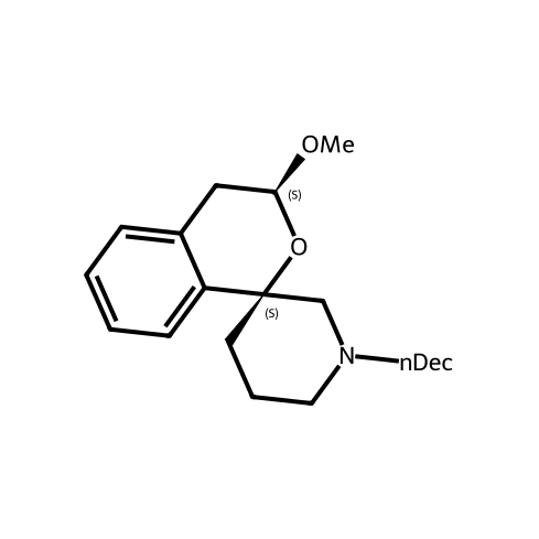 CCCCCCCCCCN1CCC[C@]2(C1)O[C@H](OC)Cc1ccccc12